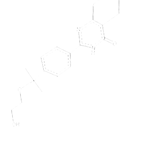 CC(C)(OCCO)c1ccc(-c2nc3c(c(=O)[nH]2)CSCC3)cc1